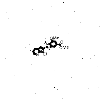 CCn1c(-c2nc3cc(C(=O)OC)cc(OC)c3n2C)cc2cccnc21